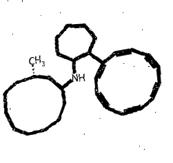 C[C@H]1CCCCCCCCC(NC2CCCCCC2C2=C/C=C\C=C/C=C\C=C/C=C\2)C1